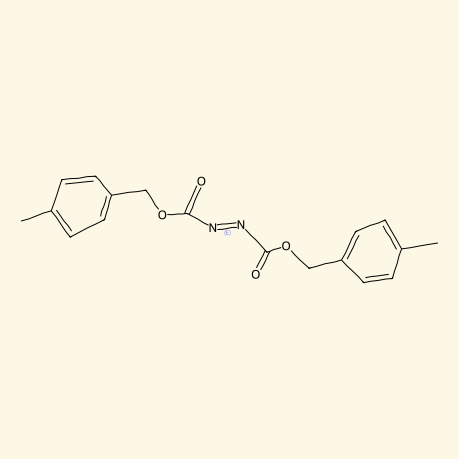 Cc1ccc(COC(=O)/N=N/C(=O)OCc2ccc(C)cc2)cc1